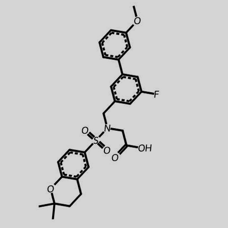 COc1cccc(-c2cc(F)cc(CN(CC(=O)O)S(=O)(=O)c3ccc4c(c3)CCC(C)(C)O4)c2)c1